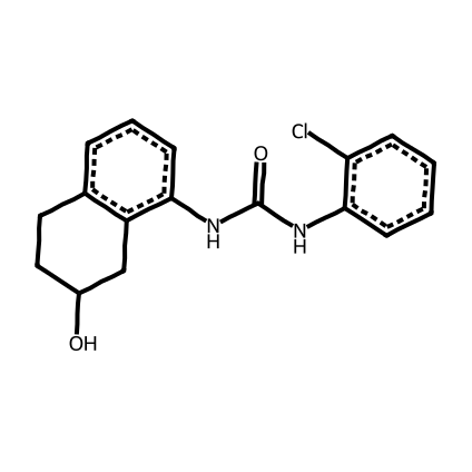 O=C(Nc1ccccc1Cl)Nc1cccc2c1CC(O)CC2